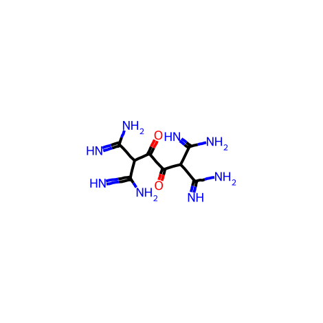 N=C(N)C(C(=N)N)C(=O)C(=O)C(C(=N)N)C(=N)N